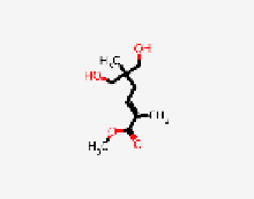 COC(=O)C(C)=CCC(C)(CO)CO